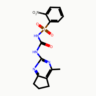 Cc1nc(NC(=O)NS(=O)(=O)c2ccccc2[N+](=O)[O-])nc2c1CCC2